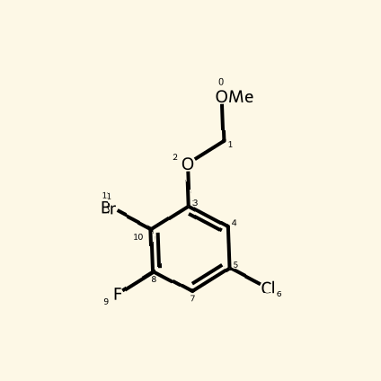 COCOc1cc(Cl)cc(F)c1Br